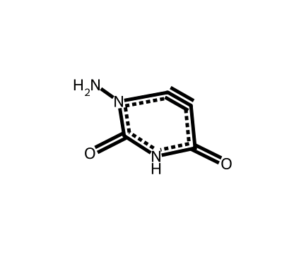 Nn1c#cc(=O)[nH]c1=O